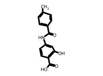 Cc1ccc(C(=O)Nc2ccc(C(=O)O)c(O)c2)cc1